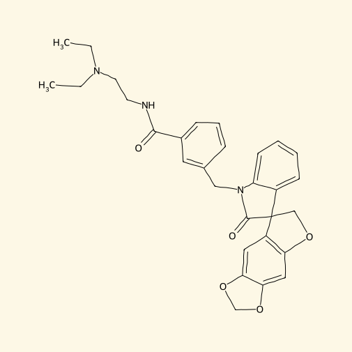 CCN(CC)CCNC(=O)c1cccc(CN2C(=O)C3(COc4cc5c(cc43)OCO5)c3ccccc32)c1